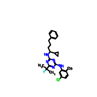 [CH]c1ccc(Cl)cc1Nc1nc(NC(CCCc2ccccc2)C2CC2)nc(C(C)(C)F)n1